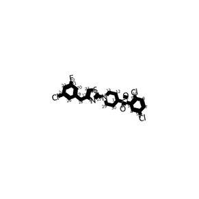 O=S(=O)(c1cc(Cl)ccc1Cl)C1CCN(c2nc(Cc3cc(F)cc(Cl)c3)cs2)CC1